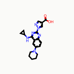 O=C(O)c1cnn(-c2nc(NC3CC3)c3cc(N4CCCCC4)ccc3n2)c1